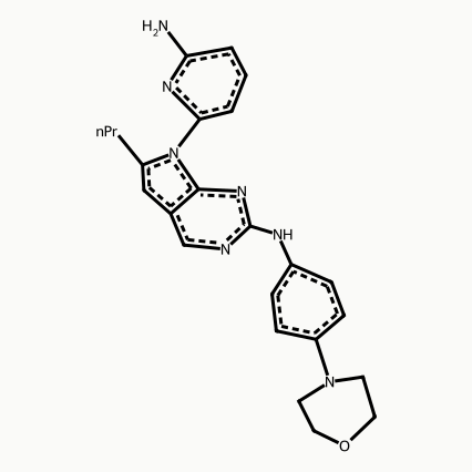 CCCc1cc2cnc(Nc3ccc(N4CCOCC4)cc3)nc2n1-c1cccc(N)n1